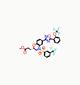 COC(=O)CC[C@H]1CN(S(=O)(=O)c2cccc(C(F)(F)F)c2)c2cc(-c3noc(-c4ccccc4OC(F)(F)F)n3)ccc2O1